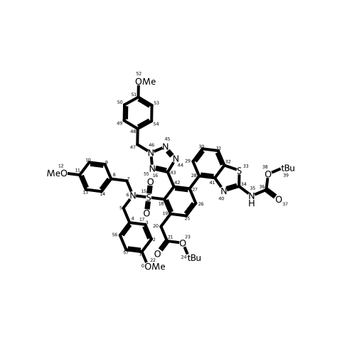 COc1ccc(CN(Cc2ccc(OC)cc2)S(=O)(=O)c2c(CC(=O)OC(C)(C)C)ccc(-c3cccc4sc(NC(=O)OC(C)(C)C)nc34)c2-c2nnn(Cc3ccc(OC)cc3)n2)cc1